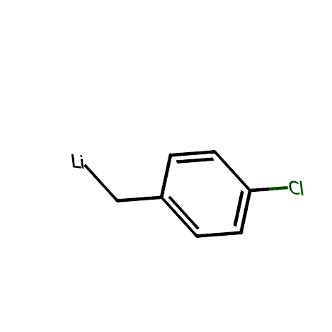 [Li][CH2]c1ccc(Cl)cc1